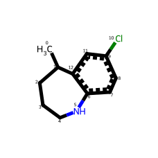 CC1CCCNc2ccc(Cl)cc21